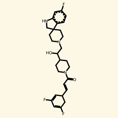 O=C(/C=C/C1C=C(F)C=C(F)C1)N1CCC(C(O)CN2CCC3(CC2)CNc2cc(F)ccc23)CC1